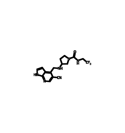 N#Cc1cnc2[nH]ccc2c1CNC1CCN(C(=O)NCC(F)(F)F)C1